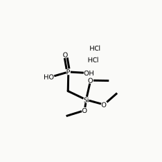 CO[Si](CP(=O)(O)O)(OC)OC.Cl.Cl